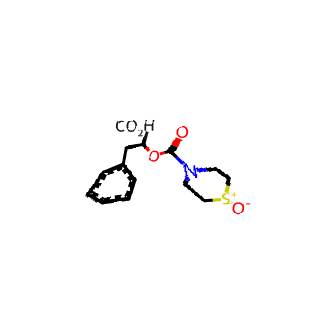 O=C(O)C(Cc1ccccc1)OC(=O)N1CC[S+]([O-])CC1